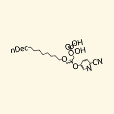 CCCCCCCCCCCCCCCCCCOC[C@@H](COP(=O)(O)O)Oc1ccc(C#N)nc1